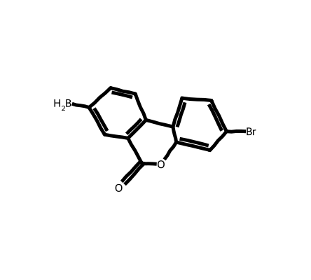 Bc1ccc2c(c1)c(=O)oc1cc(Br)ccc12